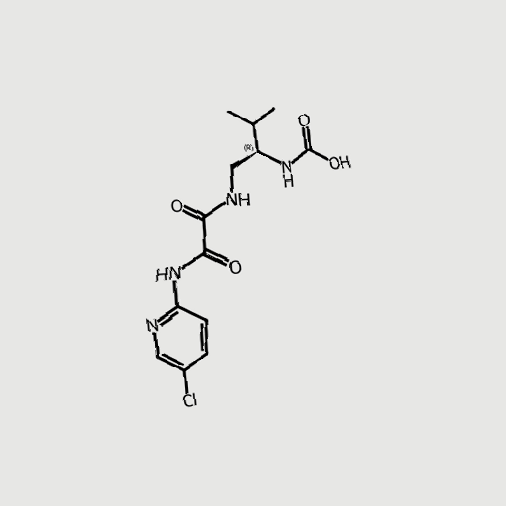 CC(C)[C@H](CNC(=O)C(=O)Nc1ccc(Cl)cn1)NC(=O)O